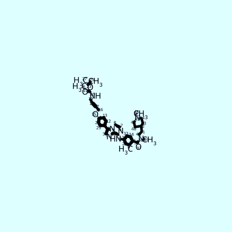 Cc1cc(Nc2nccn3c(-c4ccc(OCC#CCNC(=O)OC(C)(C)C)cc4)cnc23)ccc1C(=O)N(C)CCC1CCN(C)CC1